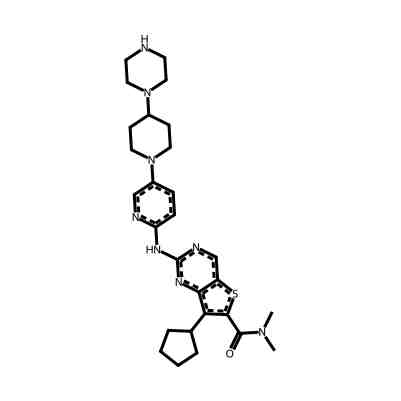 CN(C)C(=O)c1sc2cnc(Nc3ccc(N4CCC(N5CCNCC5)CC4)cn3)nc2c1C1CCCC1